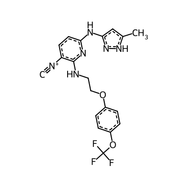 [C-]#[N+]c1ccc(Nc2cc(C)[nH]n2)nc1NCCOc1ccc(OC(F)(F)F)cc1